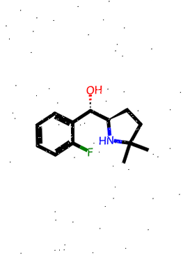 CC1(C)CC[C@H]([C@@H](O)c2ccccc2F)N1